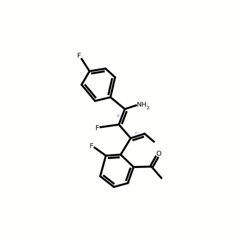 C/C=C(/C(F)=C(\N)c1ccc(F)cc1)c1c(F)cccc1C(C)=O